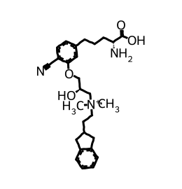 C[N+](C)(CCC1Cc2ccccc2C1)C[C@@H](O)COc1cc(CCC[C@@H](N)C(=O)O)ccc1C#N